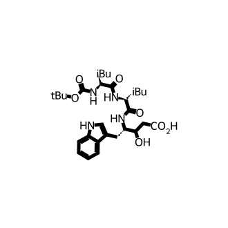 CC[C@H](C)[C@H](NC(=O)OC(C)(C)C)C(=O)N[C@H](C(=O)N[C@@H](Cc1c[nH]c2ccccc12)C(O)CC(=O)O)[C@@H](C)CC